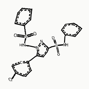 O=S(=O)(Nn1nc(S(=O)(=O)Nc2ccccc2)cc1-c1ccc(Cl)cc1)c1ccccc1